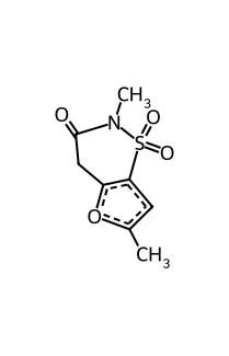 Cc1cc2c(o1)CC(=O)N(C)S2(=O)=O